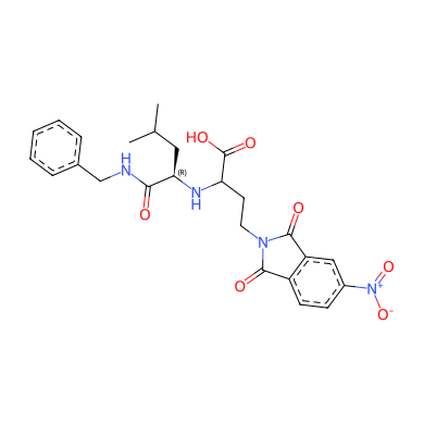 CC(C)C[C@@H](NC(CCN1C(=O)c2ccc([N+](=O)[O-])cc2C1=O)C(=O)O)C(=O)NCc1ccccc1